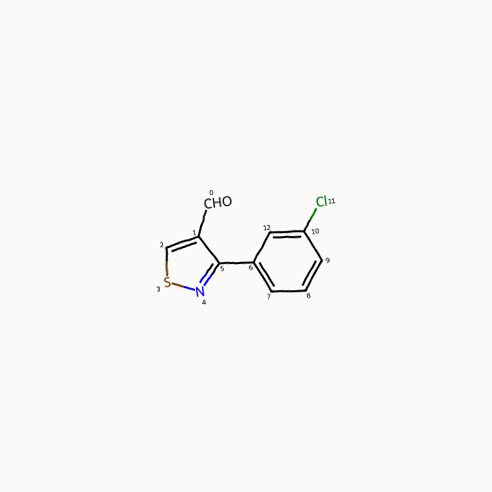 O=Cc1csnc1-c1cccc(Cl)c1